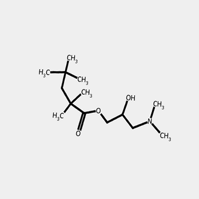 CN(C)CC(O)COC(=O)C(C)(C)CC(C)(C)C